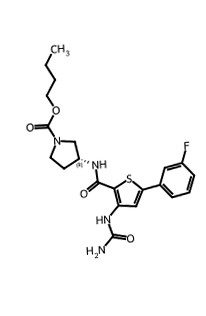 CCCCOC(=O)N1CC[C@@H](NC(=O)c2sc(-c3cccc(F)c3)cc2NC(N)=O)C1